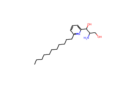 CCCCCCCCCCCc1cccc(C(O)C(N)CO)n1